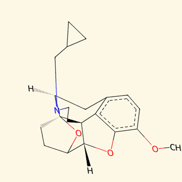 COc1ccc2c3c1O[C@@H]1C4CC[C@]5(O4)[C@H](C2)N(CC2CC2)CC[C@@]315